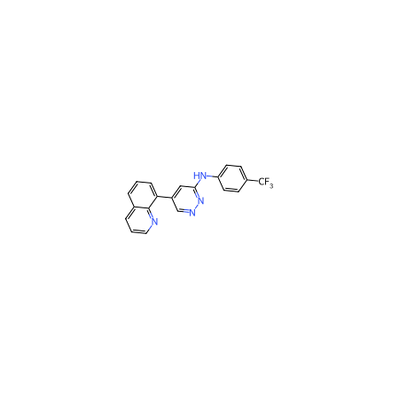 FC(F)(F)c1ccc(Nc2cc(-c3cccc4cccnc34)cnn2)cc1